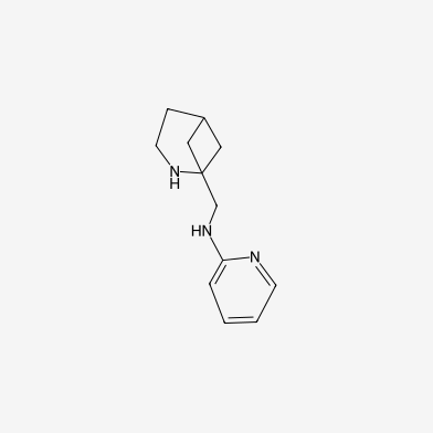 c1ccc(NCC23CC(CCN2)C3)nc1